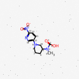 CN(C(=O)O)C1CCCN(c2ccc([N+](=O)[O-])nc2)C1